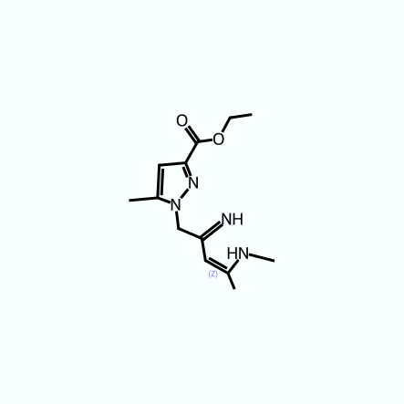 CCOC(=O)c1cc(C)n(CC(=N)/C=C(/C)NC)n1